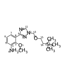 COc1c(N)cccc1-c1ncn(COCC[Si](C)(C)C)n1